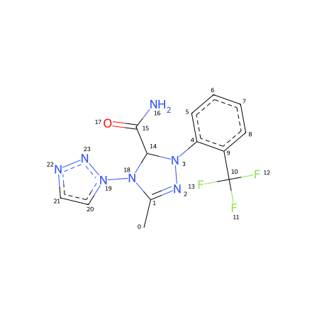 CC1=NN(c2ccccc2C(F)(F)F)C(C(N)=O)N1n1ccnn1